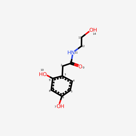 O=C(Cc1ccc(O)cc1O)NCCO